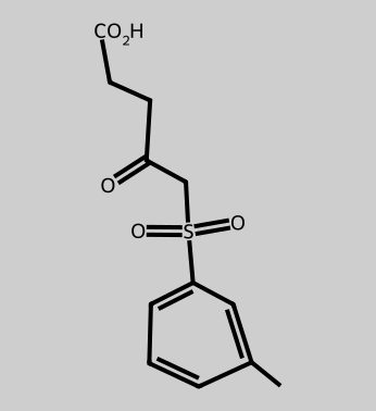 Cc1cccc(S(=O)(=O)CC(=O)CCC(=O)O)c1